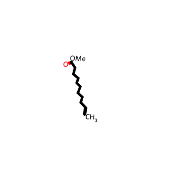 C/C=C/CCCCCCCCC(=O)OC